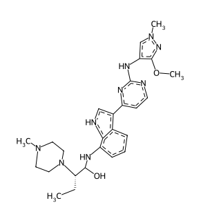 CC[C@@H](C(O)Nc1cccc2c(-c3ccnc(Nc4cn(C)nc4OC)n3)c[nH]c12)N1CCN(C)CC1